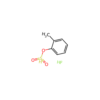 Cc1ccccc1O[SH](=O)=O.F